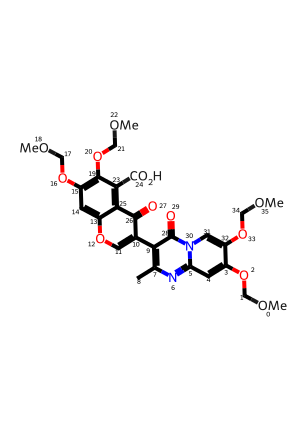 COCOc1cc2nc(C)c(-c3coc4cc(OCOC)c(OCOC)c(C(=O)O)c4c3=O)c(=O)n2cc1OCOC